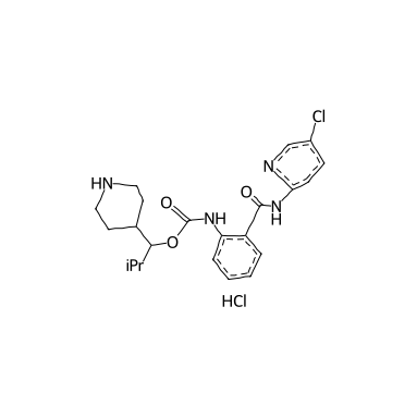 CC(C)C(OC(=O)Nc1ccccc1C(=O)Nc1ccc(Cl)cn1)C1CCNCC1.Cl